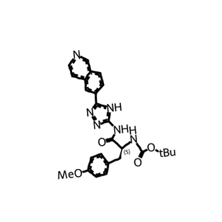 COc1ccc(C[C@H](NC(=O)OC(C)(C)C)C(=O)Nc2nnc(-c3ccc4cnccc4c3)[nH]2)cc1